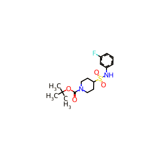 CC(C)(C)OC(=O)N1CCC(S(=O)(=O)Nc2cccc(F)c2)CC1